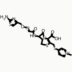 C[n+]1ccc(SCC2=C(C(=O)O)N3C(=O)C(NC(=O)C=NOCc4csc(N)n4)C3CS2)cc1